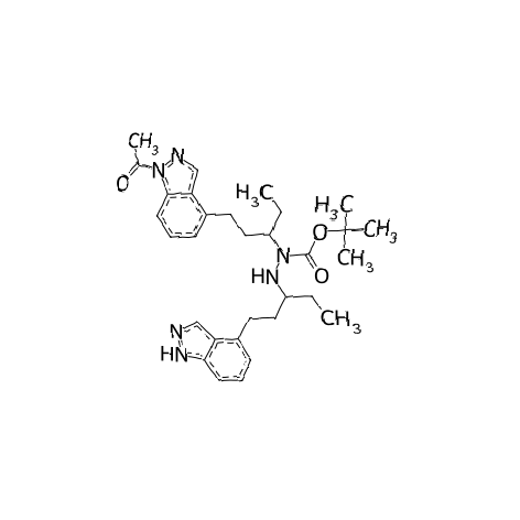 CCC(CCc1cccc2[nH]ncc12)NN(C(=O)OC(C)(C)C)C(CC)CCc1cccc2c1cnn2C(C)=O